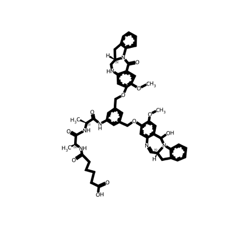 COc1cc2c(cc1OCc1cc(COc3cc4c(cc3OC)C(=O)N3c5ccccc5C[C@H]3CN4)cc(NC(=O)[C@H](C)NC(=O)[C@H](C)NC(=O)CCCCC(=O)O)c1)N=C[C@@H]1Cc3ccccc3N1C2O